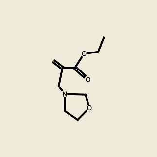 C=C(CN1CCOC1)C(=O)OCC